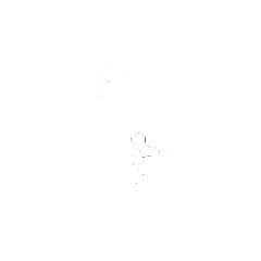 C=C(CCF)C(=O)Nc1c[nH]c2ccc(OCC[C@@H]3C[C@@H]4CN(CC(F)(F)F)C[C@@H]4C3)cc12